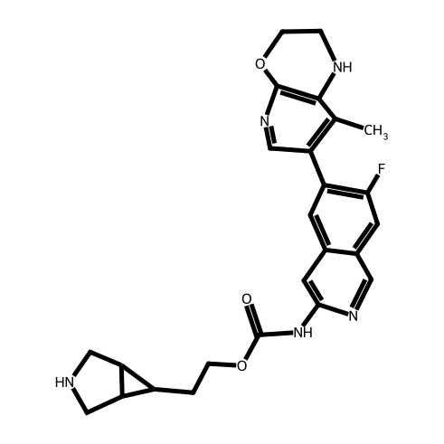 Cc1c(-c2cc3cc(NC(=O)OCCC4C5CNCC45)ncc3cc2F)cnc2c1NCCO2